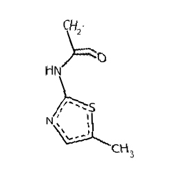 [CH2]C(=O)Nc1ncc(C)s1